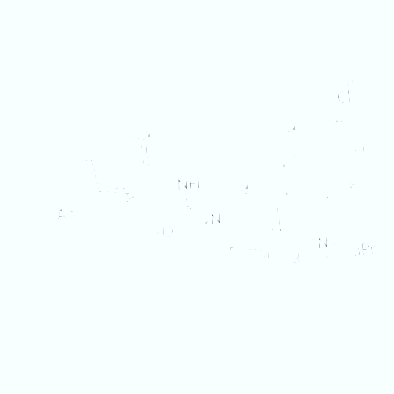 CC(=O)c1cccc(NC(=O)N2CCC3(CC2)CN(C(C)C)C3c2ccc(Cl)cc2)c1